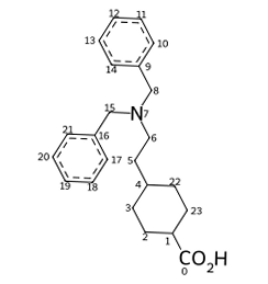 O=C(O)C1CCC(CCN(Cc2ccccc2)Cc2ccccc2)CC1